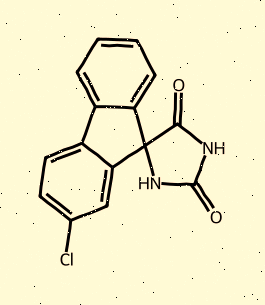 O=C1NC(=O)C2(N1)c1ccccc1-c1ccc(Cl)cc12